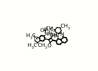 CC(=O)Nc1cc2c(cc1C1=C(O)/C(=c3/ccc4cccc5c4c3NC3(CC(C)CC(C)C3)N=5)C1=O)C(C)(C)CN2C